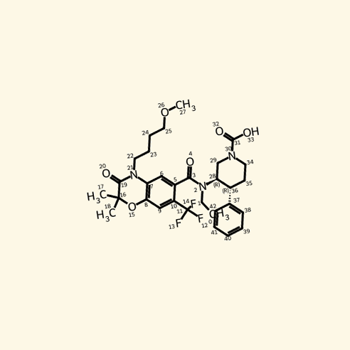 CCN(C(=O)c1cc2c(cc1C(F)(F)F)OC(C)(C)C(=O)N2CCCCOC)[C@H]1CN(C(=O)O)CC[C@@H]1c1ccccc1